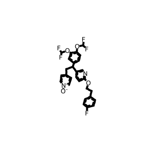 [O-][n+]1ccc(CC(c2ccc(OCCc3ccc(F)cc3)nc2)c2ccc(OC(F)F)c(OC(F)F)c2)cc1